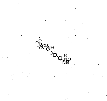 CCOC(=O)OC(C)OC(=O)C[C@@H]1C[C@@H](COc2ccc(-c3ccc(C(=N)NC(=O)OC)cc3)cc2)NC1=O